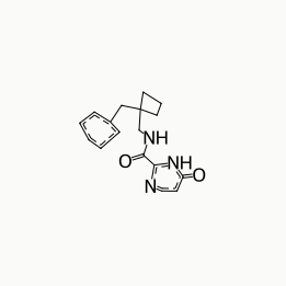 O=C(NCC1(Cc2ccccc2)CCC1)c1nccc(=O)[nH]1